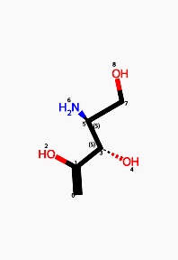 C=C(O)[C@@H](O)[C@@H](N)CO